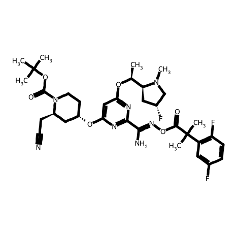 C[C@H](Oc1cc(O[C@H]2CCN(C(=O)OC(C)(C)C)[C@H](CC#N)C2)nc(C(N)=NOC(=O)C(C)(C)c2cc(F)ccc2F)n1)[C@@H]1C[C@@H](F)CN1C